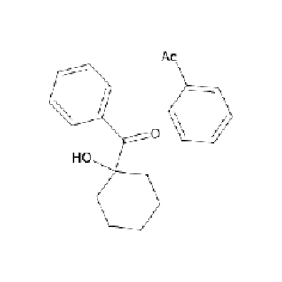 CC(=O)c1ccccc1.O=C(c1ccccc1)C1(O)CCCCC1